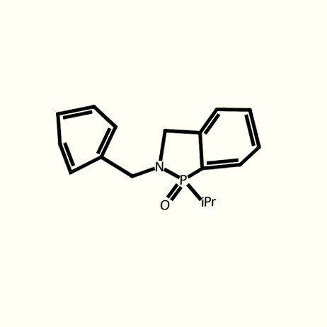 CC(C)P1(=O)c2ccccc2CN1Cc1ccccc1